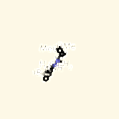 C=N/C(=C\C=C(/C)NC(=O)CN(Cc1ccccc1)C(=O)OC(C)(C)C)Oc1ccnc2cc(OC)c(OC)cc12